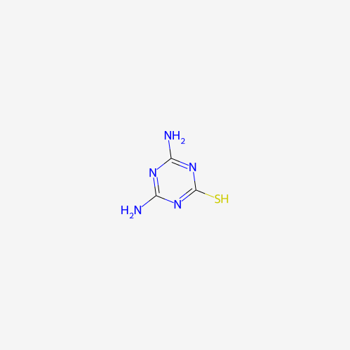 Nc1nc(N)nc(S)n1